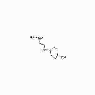 CNCCN[C@H]1CC[C@H](O)CC1